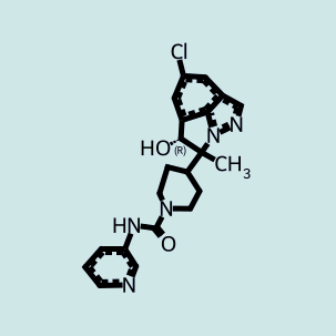 CC1(C2CCN(C(=O)Nc3cccnc3)CC2)[C@H](O)c2cc(Cl)cc3cnn1c23